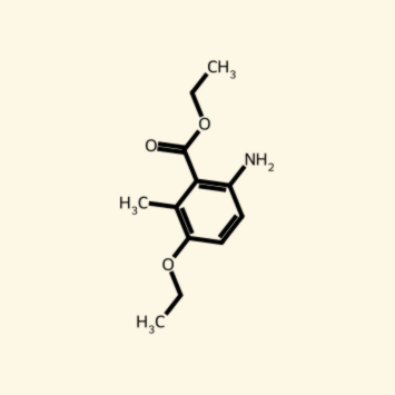 CCOC(=O)c1c(N)ccc(OCC)c1C